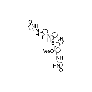 COc1nc(-c2ccnc(-c3cccc(Nc4cccc(CNCC5CCC(=O)N5)c4F)c3Cl)c2Cl)ccc1CNCC1CCC(=O)N1